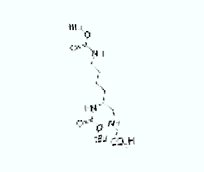 CC(C)(C)OC(=O)NCCCCC(CNCC(=O)O)NC(=O)OC(C)(C)C